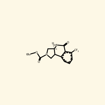 CC(C)(C)OC(=O)N1CC2c3cccc(C(F)(F)F)c3C(=O)N[C@@H]2C1